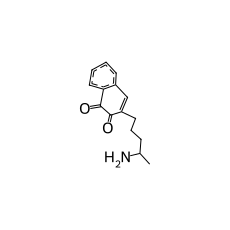 CC(N)CCCC1=Cc2ccccc2C(=O)C1=O